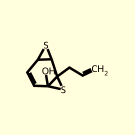 C=CCC12SC1(O)C=CC1SC12